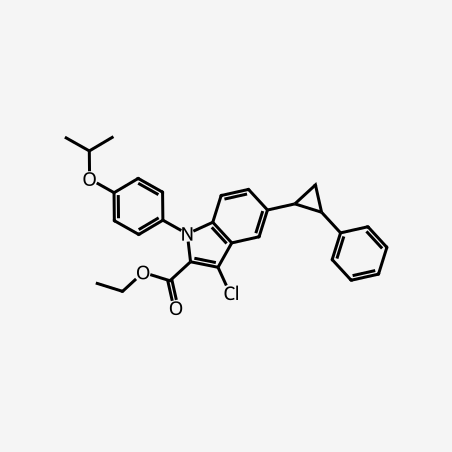 CCOC(=O)c1c(Cl)c2cc(C3CC3c3ccccc3)ccc2n1-c1ccc(OC(C)C)cc1